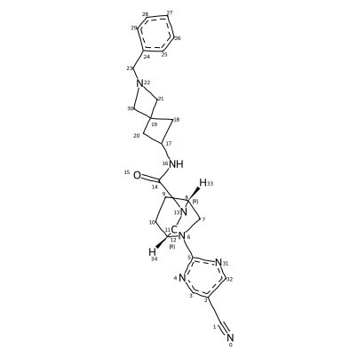 N#Cc1cnc(N2C[C@H]3CC[C@@H]2CN3C(=O)NC2CC3(C2)CN(Cc2ccccc2)C3)nc1